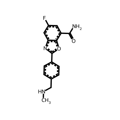 CNCc1ccc(-c2nc3cc(F)cc(C(N)=O)c3o2)cc1